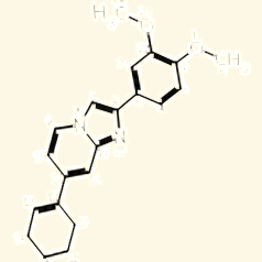 COc1ccc(-c2cn3ccc(C4=CCCCC4)cc3n2)cc1OC